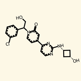 O=c1cc(-c2ccnc(N[C@H]3C[C@@H](O)C3)n2)ccn1C(CO)c1cccc(Cl)c1